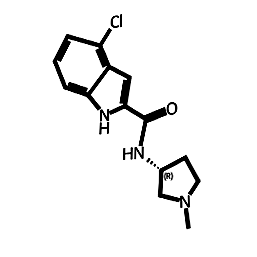 CN1CC[C@@H](NC(=O)c2cc3c(Cl)cccc3[nH]2)C1